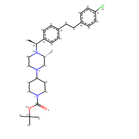 C[C@@H]1CN(C2CCN(C(=O)OC(C)(C)C)CC2)CCN1[C@@H](C)c1ccc(CCc2ccc(Cl)cc2)cc1